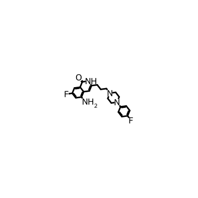 Nc1cc(F)cc2c(=O)[nH]c(CCCN3CCN(c4ccc(F)cc4)CC3)cc12